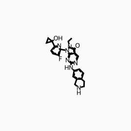 CCn1c(=O)c2cnc(Nc3ccc4c(c3)CNCC4)nc2n1-c1nc(C2(O)CC2)ccc1F